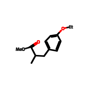 CCOc1ccc(CC(C)C(=O)OC)cc1